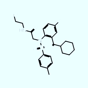 Cc1ccc(S(=O)(=O)N(CC(=O)NCCC(C)C)c2ccc(Cl)cc2C(=O)C2CCCCC2)cc1